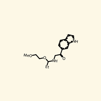 CCC(NCC(=O)c1ccc2[c]c[nH]c2c1)OCCOC